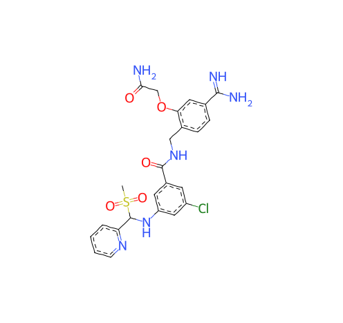 CS(=O)(=O)C(Nc1cc(Cl)cc(C(=O)NCc2ccc(C(=N)N)cc2OCC(N)=O)c1)c1ccccn1